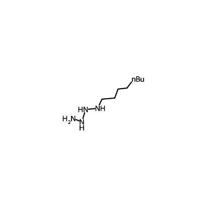 CCCCCCCCNNNN